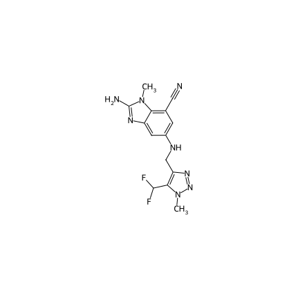 Cn1nnc(CNc2cc(C#N)c3c(c2)nc(N)n3C)c1C(F)F